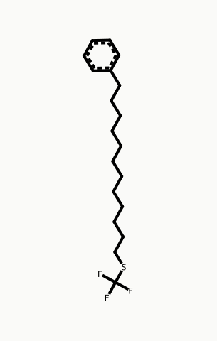 FC(F)(F)SCCCCCCCCCCCCc1ccccc1